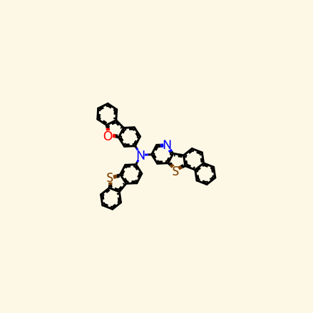 c1ccc2c(c1)ccc1c3ncc(N(c4ccc5c(c4)oc4ccccc45)c4ccc5c(c4)sc4ccccc45)cc3sc21